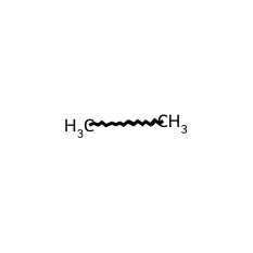 CCC=CCCCC=CCCCCCCCCC